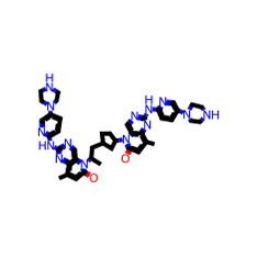 Cc1cc(=O)n(C(C)CC2CCC(n3c(=O)cc(C)c4nc(Nc5ccc(N6CCNCC6)cn5)ncc43)C2)c2cnc(Nc3ccc(N4CCNCC4)cn3)nc12